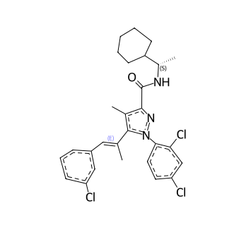 C/C(=C\c1cccc(Cl)c1)c1c(C)c(C(=O)N[C@@H](C)C2CCCCC2)nn1-c1ccc(Cl)cc1Cl